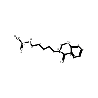 O=C1c2ccccc2OCN1CCCCCO[N+](=O)[O-]